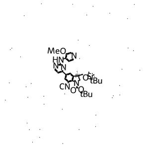 COc1cnccc1Nc1nccc(-c2cc(C#N)c3c(c2)[C@@](C)(CO[Si](C)(C)C(C)(C)C)CN3C(=O)OC(C)(C)C)n1